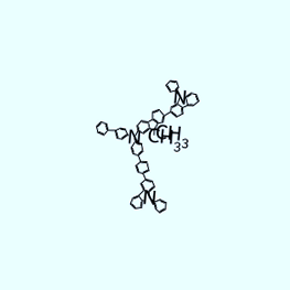 CC1(C)c2cc(-c3ccc4c5ccccc5n(-c5ccccc5)c4c3)ccc2-c2ccc(N(c3ccc(-c4ccccc4)cc3)c3ccc(-c4ccc(-c5ccc6c(c5)c5ccccc5n6-c5ccccc5)cc4)cc3)cc21